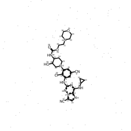 N#Cc1cc(Nc2nc(NC3CC3)c3ncc(C#N)n3n2)c(Cl)c(N2CCC(NC(=O)OCCN3CCOCC3)C(O)C2)c1